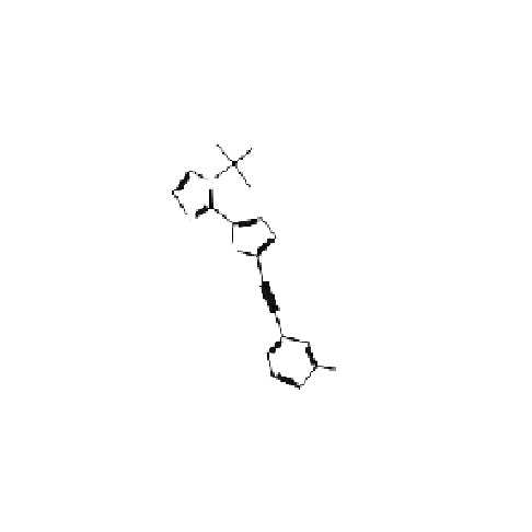 CC(C)(C)n1ccnc1-c1ccc(C#Cc2cccc(N)c2)s1